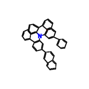 c1ccc(-c2cccc(N(c3ccccc3-c3ccccc3)c3cc(-c4ccc5ccccc5c4)ccc3-c3ccccc3)c2)cc1